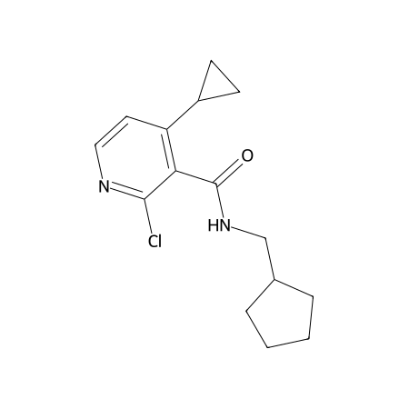 O=C(NCC1CCCC1)c1c(C2CC2)ccnc1Cl